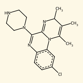 CC1=C(C)N2C(=NC1C)C(N1CCNCC1)=Nc1ccc(Cl)cc12